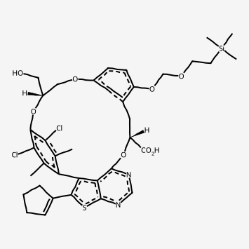 Cc1c(Cl)c2c(Cl)c(C)c1-c1c(C3=CCCC3)sc3ncnc(c13)O[C@@H](C(=O)O)Cc1cc(ccc1OCOCC[Si](C)(C)C)OC[C@@H](CO)O2